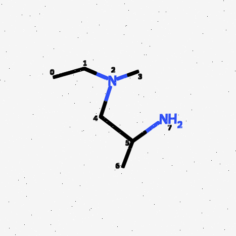 CCN(C)CC(C)N